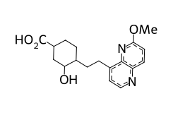 COc1ccc2nccc(CCC3CCC(C(=O)O)CC3O)c2n1